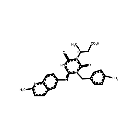 Cc1ccc(Cn2c(=O)n([C@@H](C)CC(=O)O)c(=O)[nH]/c2=N\c2ccc3nc(C)ccc3c2)cc1